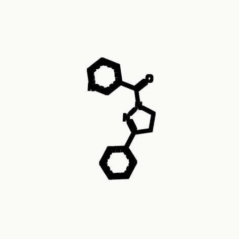 O=C(c1cccnc1)N1CCC(c2ccccc2)=N1